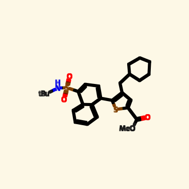 COC(=O)c1cc(CC2CCCCC2)c(-c2ccc(S(=O)(=O)NC(C)(C)C)c3ccccc23)s1